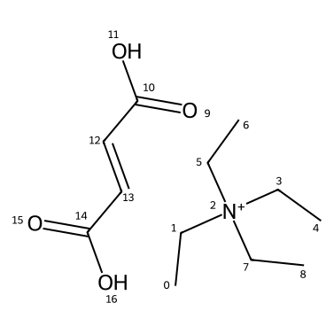 CC[N+](CC)(CC)CC.O=C(O)C=CC(=O)O